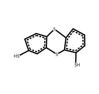 Sc1ccc2c(c1)Sc1c(S)cccc1S2